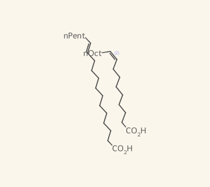 CCCCCC=CCCCCCCCCCCC(=O)O.CCCCCCCC/C=C\CCCCCCCC(=O)O